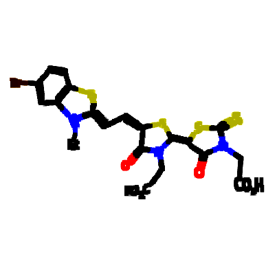 CCN1/C(=C/C=c2/s/c(=C3\SC(=S)N(CC(=O)O)C3=O)n(CC(=O)O)c2=O)Sc2ccc(Br)cc21